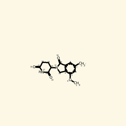 [CH2]c1cc(OC)c2c(c1)C(=O)N(C1CCC(=O)NC1=O)C2